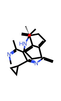 C=C\N=C(C(/C(C)=N\C)=C(C(=C)C)\C1=C/C[C@@H](C)NCCC1)\C1CC1